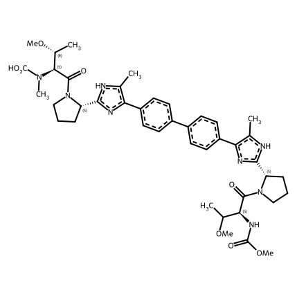 COC(=O)N[C@H](C(=O)N1CCC[C@H]1c1nc(-c2ccc(-c3ccc(-c4nc([C@@H]5CCCN5C(=O)[C@H]([C@@H](C)OC)N(C)C(=O)O)[nH]c4C)cc3)cc2)c(C)[nH]1)C(C)OC